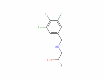 C[C@H](O)CNCc1cc(F)c(F)c(F)c1